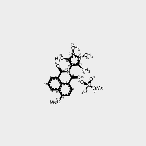 COS(=O)(=O)[O-].COc1ccc2c3c(cccc13)C(=O)N(c1c(C)n(C)[n+](C)c1C)C2=O